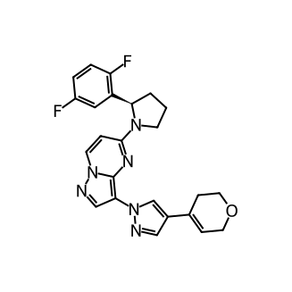 Fc1ccc(F)c([C@H]2CCCN2c2ccn3ncc(-n4cc(C5=CCOCC5)cn4)c3n2)c1